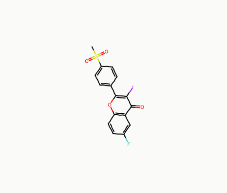 CS(=O)(=O)c1ccc(-c2oc3ccc(F)cc3c(=O)c2I)cc1